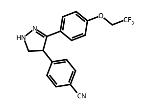 N#Cc1ccc(C2CNN=C2c2ccc(OCC(F)(F)F)cc2)cc1